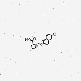 O=C(O)N1CCC[C@@H]1CSc1ccc2cc(Cl)ccc2c1